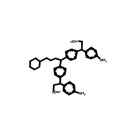 CCCCCCCCCCCC(c1ccc(N)cc1)c1ccc(C(CCCC2CCCCC2)c2ccc(C(CCCCCCCCCCC)c3ccc(N)cc3)cc2)cc1